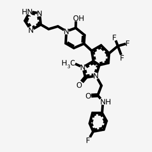 Cn1c(=O)n(CC(=O)Nc2ccc(F)cc2)c2cc(C(F)(F)F)cc(C3=CC(O)N(CCc4nc[nH]n4)C=C3)c21